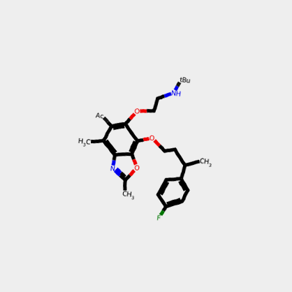 CC(=O)c1c(OCCNC(C)(C)C)c(OCCC(C)c2ccc(F)cc2)c2oc(C)nc2c1C